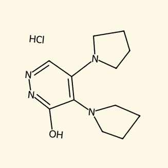 Cl.Oc1nncc(N2CCCC2)c1N1CCCC1